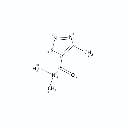 Cc1nnsc1C(=O)N(C)C